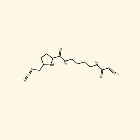 C=CC(=O)NCCCCNC(=O)C1CCC(CN=[N+]=[N-])N1